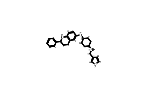 c1ccc(C2CCc3cc(OC4CCC(NCc5ccoc5)CC4)ccc3O2)cc1